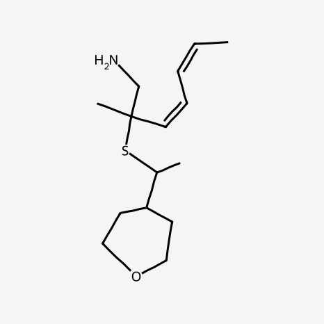 C/C=C\C=C/C(C)(CN)SC(C)C1CCOCC1